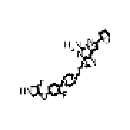 Nc1nc2c(ncn2CCN2CCN(c3ccc(O[C@H]4CNC[C@@H]4F)cc3F)CC2)c2cc(-c3ccco3)nn12